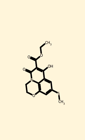 CCOC(=O)c1c(O)c2cc(SC)cc3c2n(c1=O)CCO3